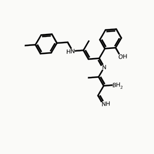 B\C(C=N)=C(C)/N=C(\C=C(/C)NCc1ccc(C)cc1)c1ccccc1O